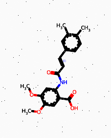 COc1cc(NC(=O)/C=C/c2ccc(C)c(C)c2)c(C(=O)O)cc1OC